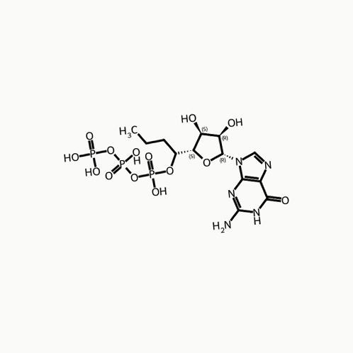 CCCC(OP(=O)(O)OP(=O)(O)OP(=O)(O)O)[C@H]1O[C@@H](n2cnc3c(=O)[nH]c(N)nc32)[C@H](O)[C@@H]1O